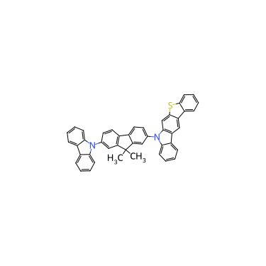 CC1(C)c2cc(-n3c4ccccc4c4ccccc43)ccc2-c2ccc(-n3c4ccccc4c4cc5c(cc43)sc3ccccc35)cc21